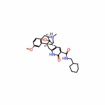 COc1ccc2c(c1)[C@]13CCN(C)[C@H](C2)[C@]1(O)Cc1cc(C(=O)NCC2CCCCC2)c(=O)[nH]c1C3